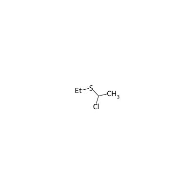 CCSC(C)Cl